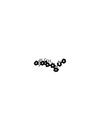 CC1(C)c2cc(-c3ccc4c(c3)c3ccccc3n4-c3ccc(-c4ccccc4)nc3)ccc2-c2cc3c(cc21)Sc1ccccc1S3